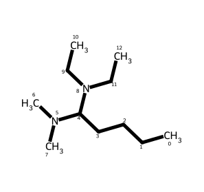 CCCCC(N(C)C)N(CC)CC